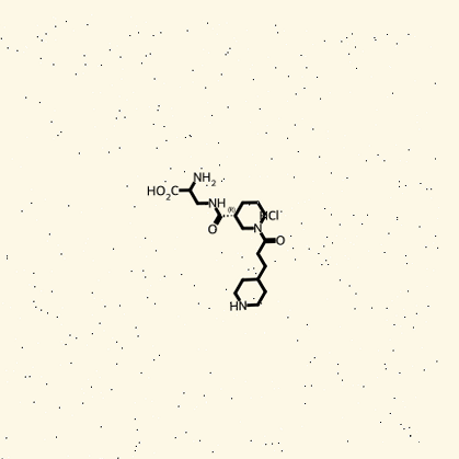 Cl.NC(CNC(=O)[C@@H]1CCCN(C(=O)CCC2CCNCC2)C1)C(=O)O